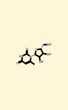 Cc1cc(=O)[nH]c(=O)n1[C@@H]1O[C@H](CO)C(O)C1O